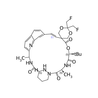 CC1NC(=O)[C@@H]2CCCN(N2)C(=O)[C@H](C)NC(=O)[C@H](C(C)(C)C)OC(=O)C2(/C=C/c3ccc4ccc1nc4c3)COC(CF)(CF)OC2